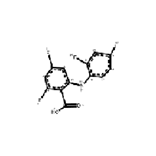 O=C(O)c1c(F)cc(F)cc1Nc1ccc(I)cc1F